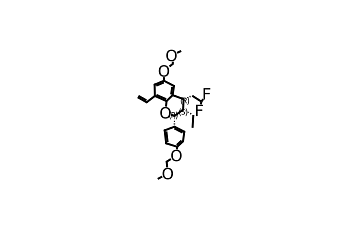 C=Cc1cc(OCOC)cc2c1O[C@@H](c1ccc(OCOC)cc1)[C@@H](CC)[C@H]2CC(F)F